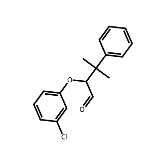 CC(C)(c1ccccc1)C(C=O)Oc1cccc(Cl)c1